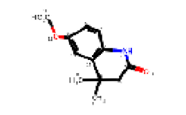 CC1(C)CC(=O)Nc2ccc(OC(=O)O)cc21